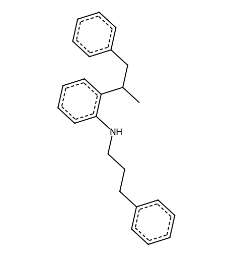 CC(Cc1ccccc1)c1ccccc1NCCCc1ccccc1